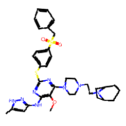 COc1c(Nc2cc(C)[nH]n2)nc(Sc2ccc(S(=O)(=O)Cc3ccccc3)cc2)nc1N1CCN(CCN2C3CCCC2CC3)CC1